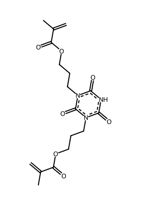 C=C(C)C(=O)OCCCn1c(=O)[nH]c(=O)n(CCCOC(=O)C(=C)C)c1=O